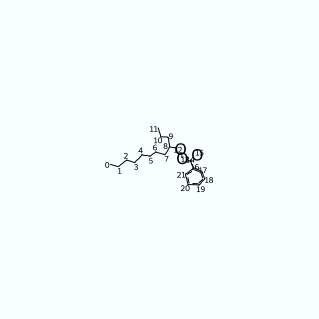 CCCCCCCCC(CCC)OOC(=O)c1ccccc1